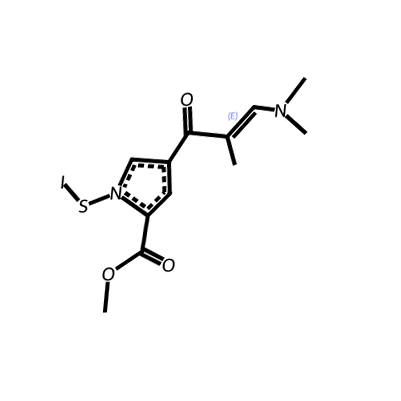 COC(=O)c1cc(C(=O)/C(C)=C/N(C)C)cn1SI